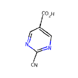 N#Cc1ncc(C(=O)O)cn1